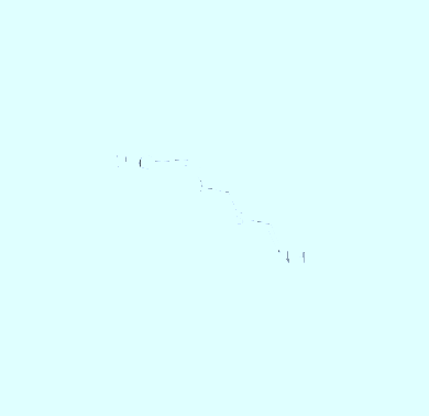 C/C=I/CSC=N